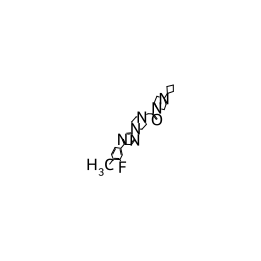 Cc1ccc(-c2cnc(N3CCN(CC(=O)N4CCN(C5CCC5)CC4)CC3)cn2)cc1F